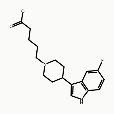 O=C(O)CCCCN1CCC(c2c[nH]c3ccc(F)cc23)CC1